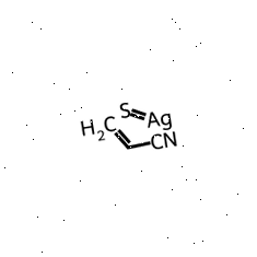 C=CC#N.[S]=[Ag]